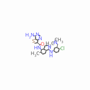 Cc1ccc2c(Nc3ccc(Cl)c(CN(C)C)c3)nccc2c1NC(=O)c1csc2c(N)ncnc12